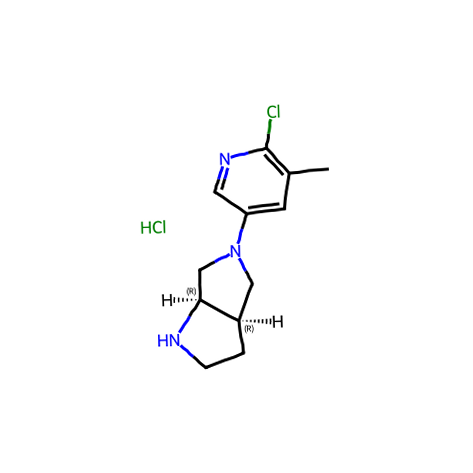 Cc1cc(N2C[C@H]3CCN[C@H]3C2)cnc1Cl.Cl